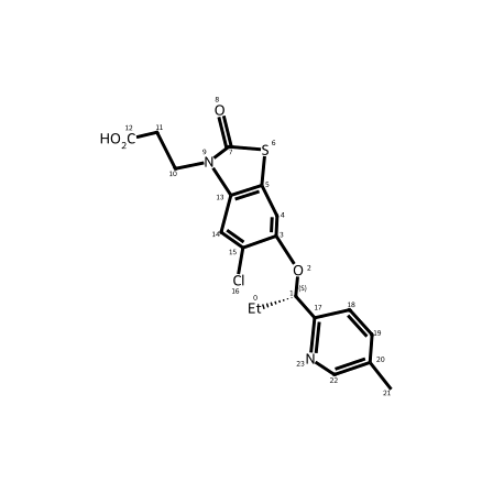 CC[C@H](Oc1cc2sc(=O)n(CCC(=O)O)c2cc1Cl)c1ccc(C)cn1